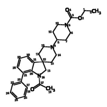 CCOC(=O)N1CCC(N2CCC3(CC2)CN(C(C)=O)c2c(-c4ccccc4)cccc23)CC1